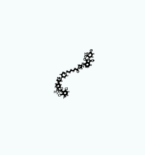 CC(Oc1cc(-c2cnn(C3CCN(CCCCCC(=O)N4CC(Nc5cccc6c5C(=O)N(C5CCC(=O)NC5=O)C6=O)C4)CC3)c2)cnc1N)c1c(Cl)ccc(F)c1Cl